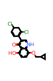 O=c1c(C2=C(Cl)CC(Cl)C=C2)c[nH]c2c(OCC3CC3)ccc(O)c12